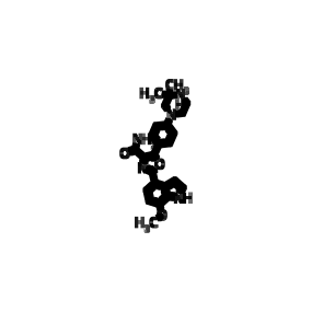 COc1ccc(-c2nc(C(N)=O)c(-c3ccc(N4CCNC(C)(C)C4)cc3)o2)c2cc[nH]c12